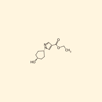 CCOC(=O)c1cnn([C@H]2CC[C@H](O)CC2)c1